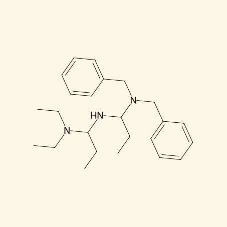 CCC(NC(CC)N(Cc1ccccc1)Cc1ccccc1)N(CC)CC